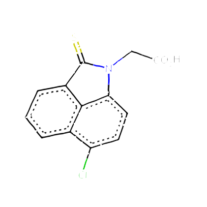 O=C(O)CN1C(=S)c2cccc3c(Cl)ccc1c23